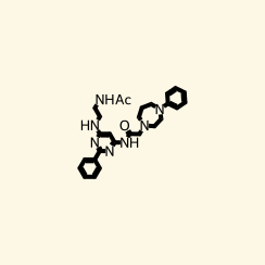 CC(=O)NCCNc1cc(NC(=O)CN2CCCN(c3ccccc3)CC2)nc(-c2ccccc2)n1